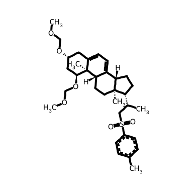 COCO[C@@H]1CC2=CC=C3[C@@H]4CC[C@H](C(C)CS(=O)(=O)c5ccc(C)cc5)[C@@]4(C)CC[C@@H]3[C@@]2(C)[C@@H](OCOC)C1